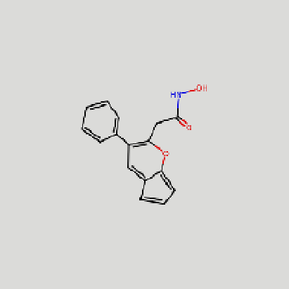 O=C(Cc1oc2cccc-2cc1-c1ccccc1)NO